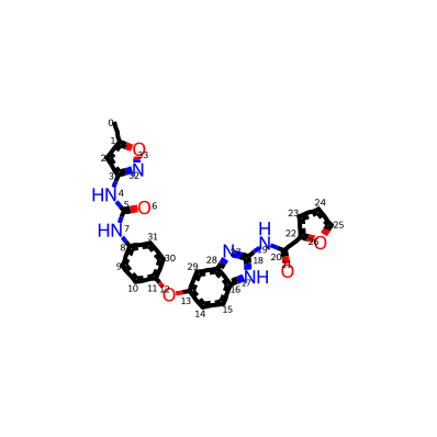 Cc1cc(NC(=O)Nc2ccc(Oc3ccc4[nH]c(NC(=O)c5ccco5)nc4c3)cc2)no1